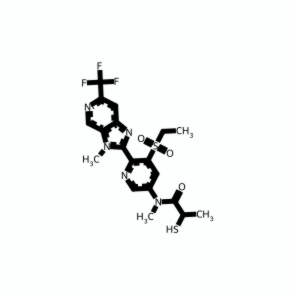 CCS(=O)(=O)c1cc(N(C)C(=O)C(C)S)cnc1-c1nc2cc(C(F)(F)F)ncc2n1C